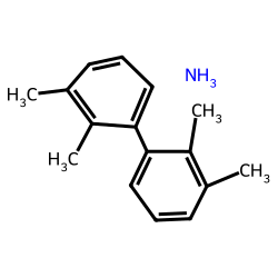 Cc1cccc(-c2cccc(C)c2C)c1C.N